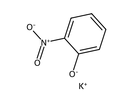 O=[N+]([O-])c1ccccc1[O-].[K+]